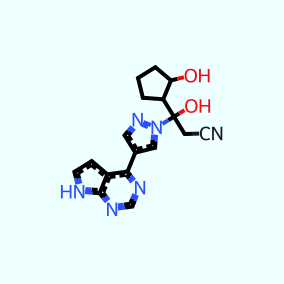 N#CCC(O)(C1CCCC1O)n1cc(-c2ncnc3[nH]ccc23)cn1